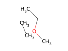 CC.CCOC